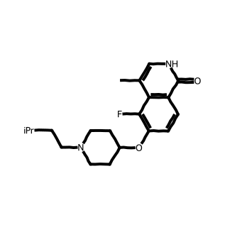 Cc1c[nH]c(=O)c2ccc(OC3CCN(CCC(C)C)CC3)c(F)c12